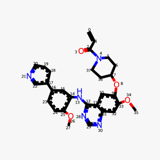 C=CC(=O)N1CCC(Oc2cc3c(Nc4cc(-c5cccnc5)ccc4OC)ncnc3cc2OC)CC1